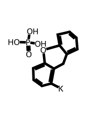 O=P(O)(O)O.[K][c]1cccc2c1Cc1ccccc1O2